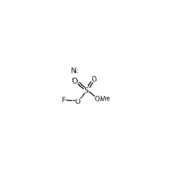 COS(=O)(=O)OF.[N]